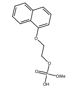 COP(=O)(O)OCCOc1cccc2ccccc12